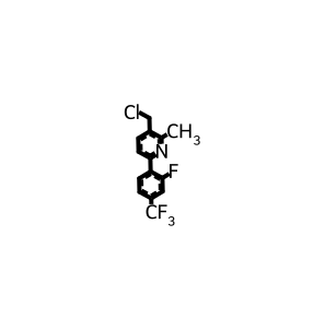 Cc1nc(-c2ccc(C(F)(F)F)cc2F)ccc1CCl